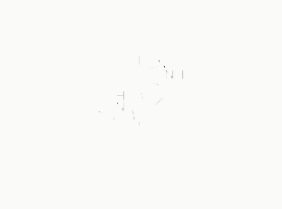 C[C@@H](NC(=O)c1ccc2[nH]nc(I)c2c1)C1CCCCC1